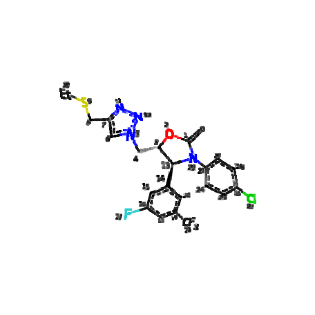 C=C1O[C@@H](Cn2cc(CSCC)nn2)[C@H](c2cc(F)cc(C(F)(F)F)c2)N1c1ccc(Cl)cc1